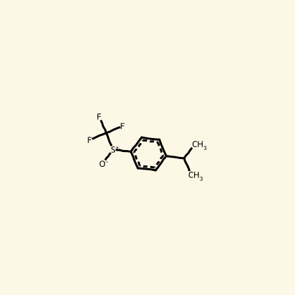 CC(C)c1ccc([S+]([O-])C(F)(F)F)cc1